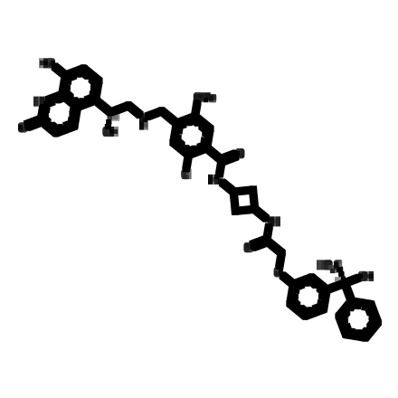 COc1cc(C(=O)NC2CC(NC(=O)COc3cccc([C@](O)(C(=O)O)c4ccccc4)c3)C2)c(Cl)cc1CNC[C@H](O)c1ccc(O)c2[nH]c(=O)ccc12